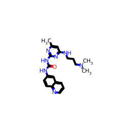 Cc1cc(NCCCN(C)C)nc(NC(=O)Nc2ccc3ncccc3c2)n1